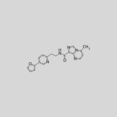 Cc1ccnc2c(C(=O)NCCc3ccc(-c4ccco4)cn3)ncn12